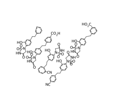 N#Cc1ccc(CCc2ccc(N3CC(=O)NS3(=O)=O)c(O)c2)cc1.N#Cc1ccccc1CCc1ccc(N2CC(=O)NS2(=O)=O)c(O)c1.O=C1CN(c2ccc(CCc3ccc(C(=O)O)cc3)cc2O)S(=O)(=O)N1.O=C1CN(c2ccc(CCc3cccc(C(=O)O)c3)cc2O)S(=O)(=O)N1.O=C1CN(c2ccc(CCc3ccccc3)cc2O)S(=O)(=O)N1